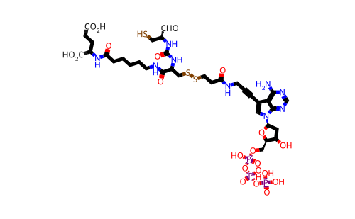 Nc1ncnc2c1c(C#CCNC(=O)CCSSCC(NC(=O)N[C@H](C=O)CS)C(=O)NCCCCCC(=O)NC(CCC(=O)O)C(=O)O)cn2[C@H]1CC(O)[C@@H](COP(=O)(O)OP(=O)(O)OP(=O)(O)O)O1